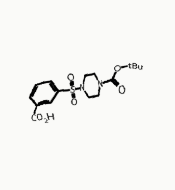 CC(C)(C)OC(=O)N1CCN(S(=O)(=O)c2cccc(C(=O)O)c2)CC1